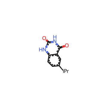 CC(C)c1ccc2[nH]c(=O)[nH]c(=O)c2c1